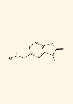 C=C1Oc2ccc(CNCl)cc2N1C